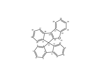 c1ccc2c(c1)-c1ccccc1C21c2ccccc2-c2c1oc1ccccc21